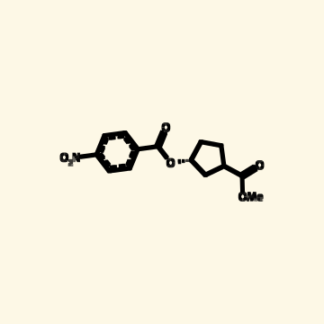 COC(=O)C1CC[C@@H](OC(=O)c2ccc([N+](=O)[O-])cc2)C1